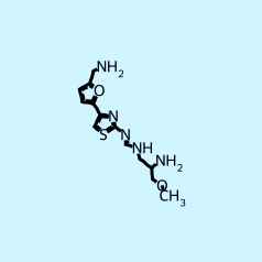 COCC(N)CNC=Nc1nc(-c2ccc(CN)o2)cs1